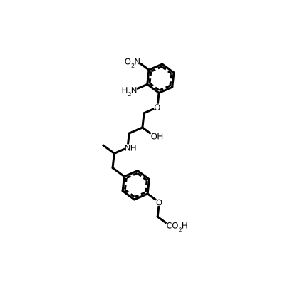 CC(Cc1ccc(OCC(=O)O)cc1)NCC(O)COc1cccc([N+](=O)[O-])c1N